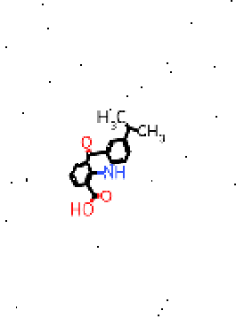 CC(C)c1ccc2[nH]c3c(C(=O)O)cccc3c(=O)c2c1